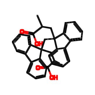 CC(CC1(CC2(CC(C)C(=O)O)c3ccccc3-c3ccccc32)c2ccccc2-c2ccccc21)C(=O)O